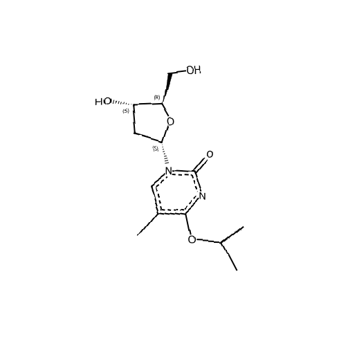 Cc1cn([C@@H]2C[C@H](O)[C@@H](CO)O2)c(=O)nc1OC(C)C